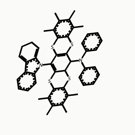 Cc1c(C)c(C)c2c(c1C)SC1=C(S2)C(N(c2ccccc2)c2ccccc2)C2Sc3c(C)c(C)c(C)c(C)c3SC2=C1n1c2c(c3ccccc31)=CCCC=2